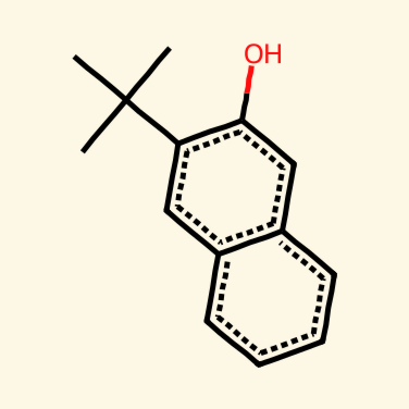 CC(C)(C)c1cc2ccccc2cc1O